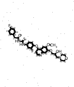 COc1cc2c(Oc3ccc(NC(=S)NC(=O)Cc4ccc(F)cc4)cc3F)ccnc2cc1OCC(O)CN1CCOCC1